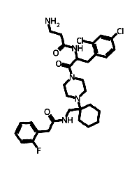 NCCC(=O)NC(Cc1ccc(Cl)cc1Cl)C(=O)N1CCN(C2(CNC(=O)Cc3ccccc3F)CCCCC2)CC1